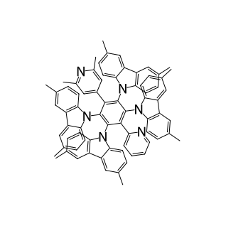 Cc1ccc2c(c1)c1cc(C)ccc1n2-c1c(-c2cc(C)nc(C)c2)c(-n2c3ccc(C)cc3c3cc(C)ccc32)c(-n2c3ccc(C)cc3c3cc(C)ccc32)c(-c2ccccn2)c1-n1c2ccc(C)cc2c2cc(C)ccc21